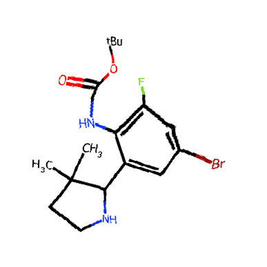 CC(C)(C)OC(=O)Nc1c(F)cc(Br)cc1C1NCCC1(C)C